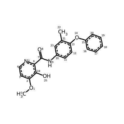 COc1ccnc(C(=O)Nc2ccc(Oc3ccccc3)c(C)c2)c1O